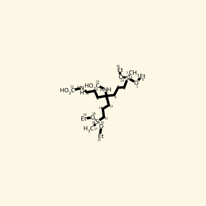 CCO[Si](C)(CCCC(CCCNC(=O)O)(CCC[Si](C)(OCC)OCC)NC(=O)O)OCC